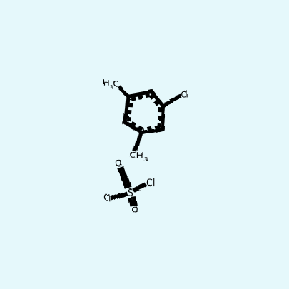 Cc1cc(C)cc(Cl)c1.O=S(=O)(Cl)Cl